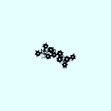 c1ccc(C2=NC(c3ccccc3)NC(c3cccc(-c4ccc(-c5cccc6oc7c(-n8c9ccccc9c9cc(-c%10ccccc%10)ccc98)cccc7c56)c5oc6ccccc6c45)c3)N2)cc1